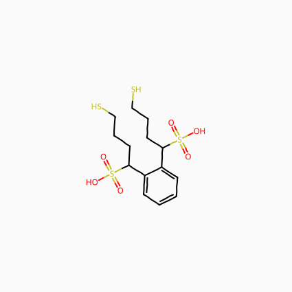 O=S(=O)(O)C(CCCS)c1ccccc1C(CCCS)S(=O)(=O)O